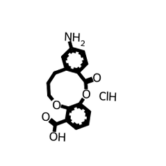 Cl.Nc1ccc2c(c1)CCCOc1c(cccc1C(=O)O)OC2=O